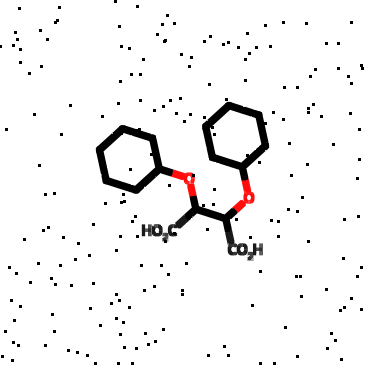 O=C(O)C(OC1CCCCC1)C(OC1CCCCC1)C(=O)O